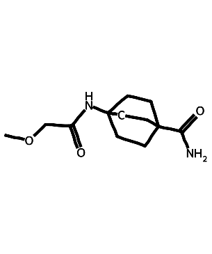 COCC(=O)NC12CCC(C(N)=O)(CC1)CC2